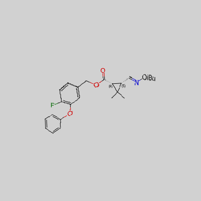 CC(C)CON=C[C@H]1[C@@H](C(=O)OCc2ccc(F)c(Oc3ccccc3)c2)C1(C)C